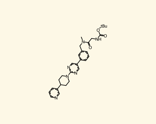 CN(Cc1cccc(-c2cnc(N3CCC(c4cccnc4)CC3)nc2)c1)C(=O)CNC(=O)OC(C)(C)C